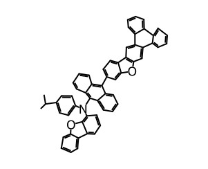 CC(C)c1ccc(N(c2c3ccccc3c(-c3ccc4c(c3)oc3cc5c6ccccc6c6ccccc6c5cc34)c3ccccc23)c2cccc3c2oc2ccccc23)cc1